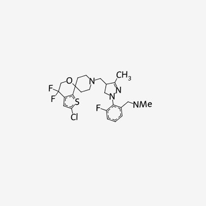 CNCc1cccc(F)c1N1CC(CN2CCC3(CC2)OCC(F)(F)c2cc(Cl)sc23)C(C)=N1